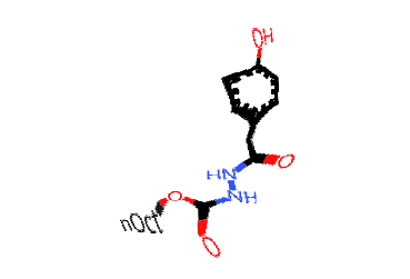 CCCCCCCCOC(=O)NNC(=O)c1ccc(O)cc1